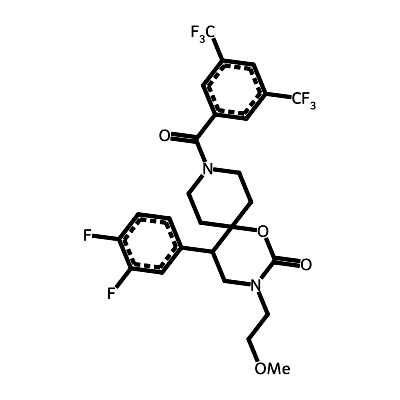 COCCN1CC(c2ccc(F)c(F)c2)C2(CCN(C(=O)c3cc(C(F)(F)F)cc(C(F)(F)F)c3)CC2)OC1=O